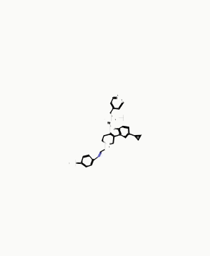 O=C(NCc1ccnc(F)c1)n1c2c(c3cc(C4CC4)ccc31)CN(C/C=C/c1ccc(Cl)cc1)CC2